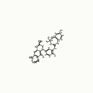 CNc1ccc([C@@H](CC(=O)O)c2ccc(C)c(CN3Cc4ccc(C)cc4OC(C)(C)C3)c2)c(C)c1N=N